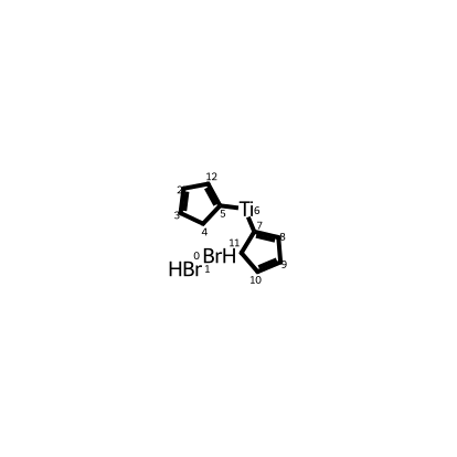 Br.Br.C1=CC[C]([Ti][C]2=CC=CC2)=C1